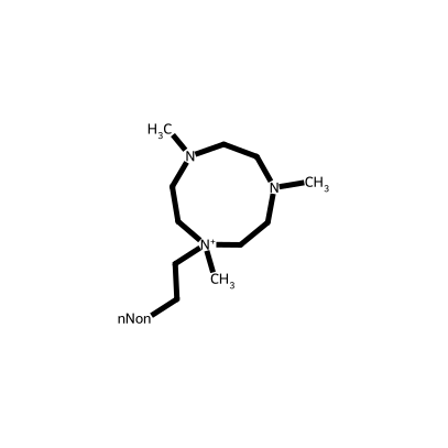 CCCCCCCCCCC[N+]1(C)CCN(C)CCN(C)CC1